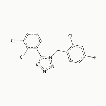 Fc1ccc(Cn2nnnc2-c2cccc(Cl)c2Cl)c(Cl)c1